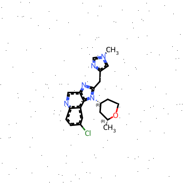 C[C@@H]1C[C@H](n2c(Cc3cn(C)cn3)nc3cnc4ccc(Cl)cc4c32)CCO1